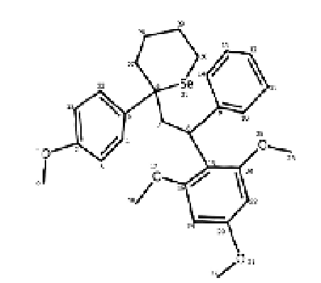 COc1ccc(C2(CC(c3ccccc3)c3c(OC)cc(OC)cc3OC)CCCC[Se]2)cc1